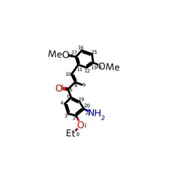 CCOc1ccc(C(=O)/C(C)=C/c2cc(OC)ccc2OC)cc1N